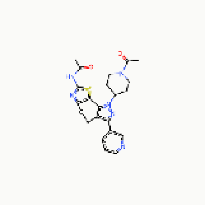 CC(=O)Nc1nc2c(s1)-c1c(c(-c3cccnc3)nn1C1CCN(C(C)=O)CC1)CC2